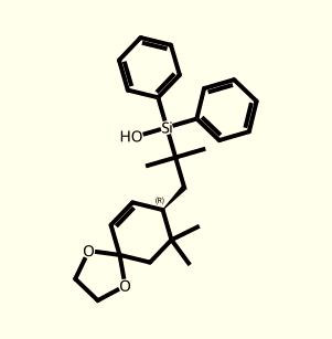 CC1(C)CC2(C=C[C@H]1CC(C)(C)[Si](O)(c1ccccc1)c1ccccc1)OCCO2